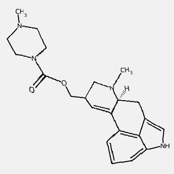 CN1CCN(C(=O)OCC2C=C3c4cccc5[nH]cc(c45)C[C@@H]3N(C)C2)CC1